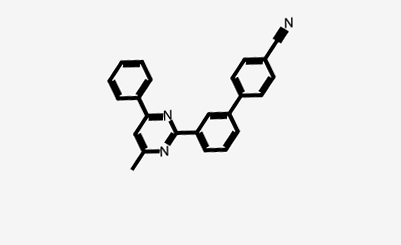 Cc1cc(-c2ccccc2)nc(-c2cccc(-c3ccc(C#N)cc3)c2)n1